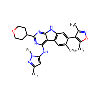 COc1cc2c(cc1-c1c(C)noc1C)[nH]c1nc(C3CCOCC3)nc(Nc3cc(C)nn3C(C)C)c12